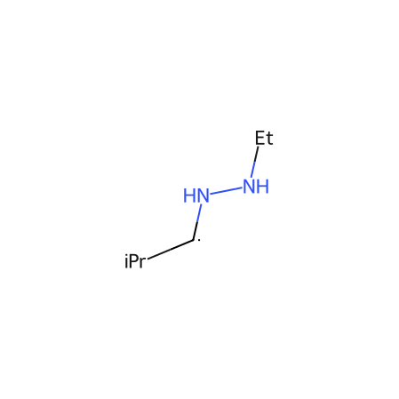 CCNN[CH]C(C)C